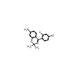 CC1(C)N=C(c2ccc(Cl)cc2F)c2ccc(N)cc2O1